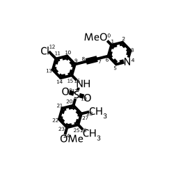 COc1ccncc1C#Cc1cc(Cl)ccc1NS(=O)(=O)c1ccc(OC)c(C)c1C